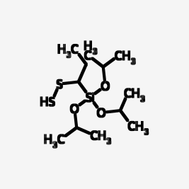 CCC(SS)[Si](OC(C)C)(OC(C)C)OC(C)C